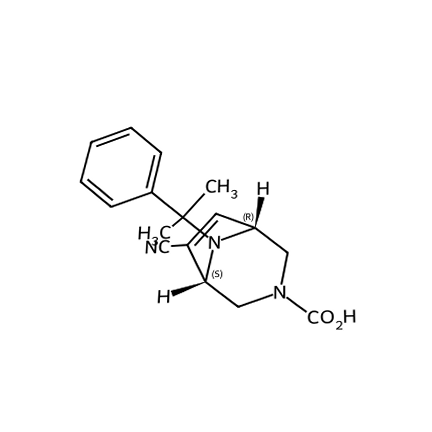 CC(C)(c1ccccc1)N1[C@@H]2C=C(C#N)[C@H]1CN(C(=O)O)C2